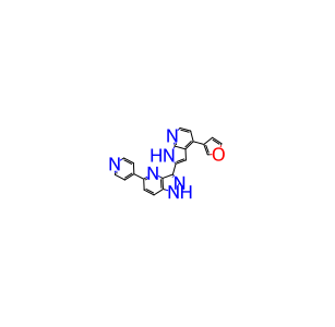 c1cc(-c2ccc3[nH]nc(-c4cc5c(-c6ccoc6)ccnc5[nH]4)c3n2)ccn1